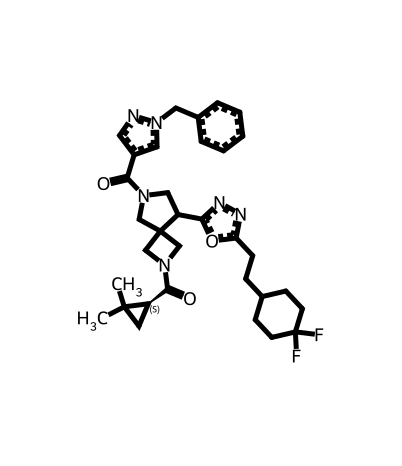 CC1(C)C[C@@H]1C(=O)N1CC2(CN(C(=O)c3cnn(Cc4ccccc4)c3)CC2c2nnc(CCC3CCC(F)(F)CC3)o2)C1